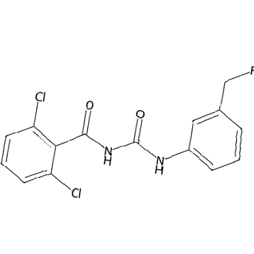 O=C(NC(=O)c1c(Cl)cccc1Cl)Nc1cccc(CF)c1